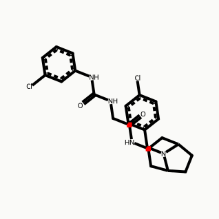 O=C(CNC(=O)Nc1cccc(Cl)c1)NC1CC2CCC(C1)N2Cc1ccc(Cl)cc1